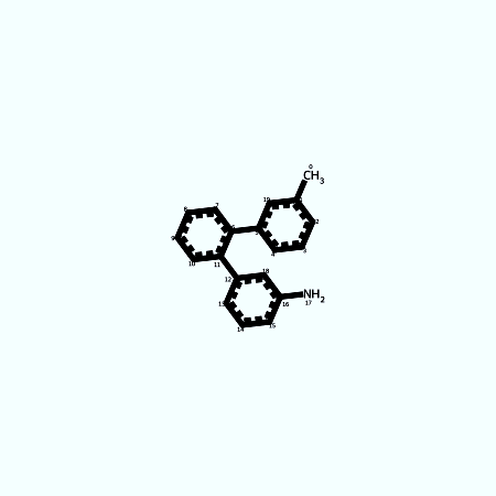 Cc1cccc(-c2ccccc2-c2cccc(N)c2)c1